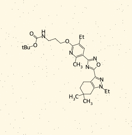 CCc1cc(-c2noc(-c3nn(CC)c4c3CCC(C)(C)C4)n2)c(C)nc1OCCCNC(=O)OC(C)(C)C